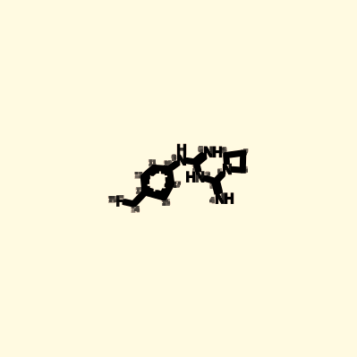 N=C(NC(=N)N1CCC1)Nc1ccc(CF)cc1